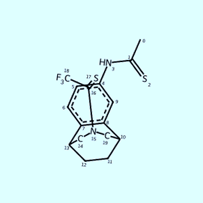 CC(=S)Nc1ccc2c(c1)C1CCC2CN(C(=S)C(F)(F)F)C1